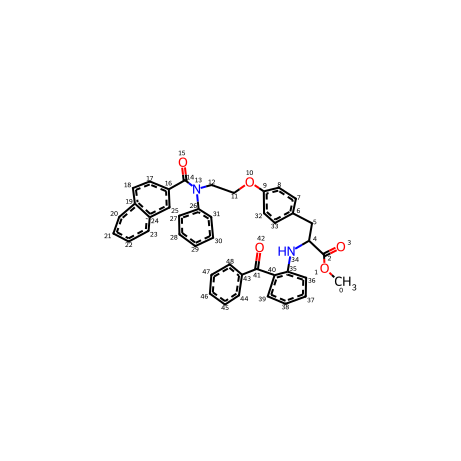 COC(=O)C(Cc1ccc(OCCN(C(=O)c2ccc3ccccc3c2)c2ccccc2)cc1)Nc1ccccc1C(=O)c1ccccc1